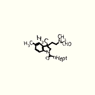 CCCCCCCC(=O)N1CC(C)(CCN(C)C=O)c2cc(C)ccc21